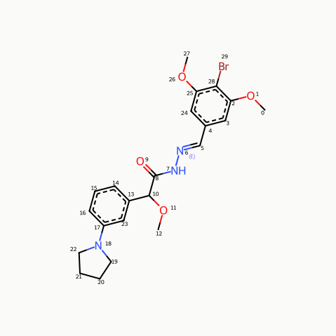 COc1cc(/C=N/NC(=O)C(OC)c2cccc(N3CCCC3)c2)cc(OC)c1Br